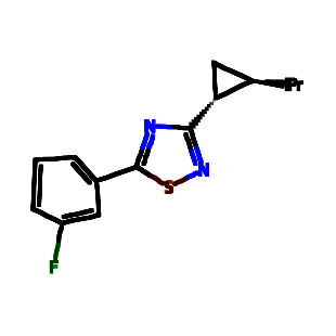 CC(C)[C@@H]1C[C@H]1c1nsc(-c2cccc(F)c2)n1